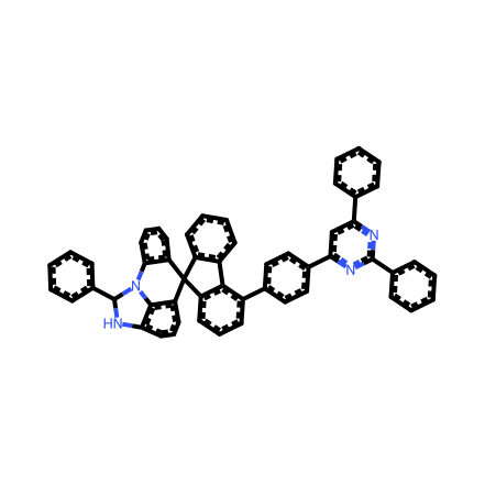 c1ccc(-c2cc(-c3ccc(-c4cccc5c4-c4ccccc4C54c5ccccc5N5c6c(cccc64)NC5c4ccccc4)cc3)nc(-c3ccccc3)n2)cc1